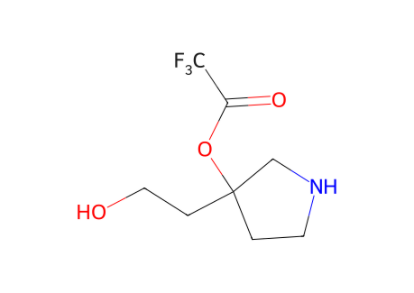 O=C(OC1(CCO)CCNC1)C(F)(F)F